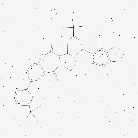 O=C1Nc2ccc(-c3cccc(C(F)(F)F)c3)cc2C(=O)N2CCN(Cc3ccc4c(c3)OCO4)C(OC(=O)C(F)(F)F)C12